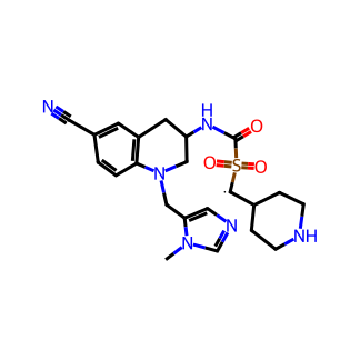 Cn1cncc1CN1CC(NC(=O)S(=O)(=O)[CH]C2CCNCC2)Cc2cc(C#N)ccc21